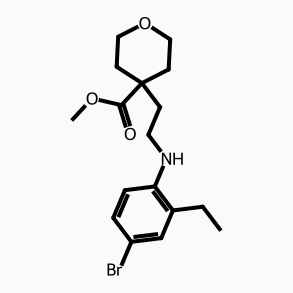 CCc1cc(Br)ccc1NCCC1(C(=O)OC)CCOCC1